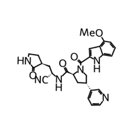 COc1cccc2[nH]c(C(=O)N3C[C@H](c4cccnc4)C[C@H]3C(=O)N[C@H](C#N)C[C@@H]3CCNC3=O)cc12